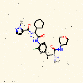 CCCN[C@@H](C(=O)NC1CCOCC1)[C@@H](C)c1ccc(NC(=O)[C@@H](NC(=O)c2ccnn2CC)C2CCCCC2)c(F)c1